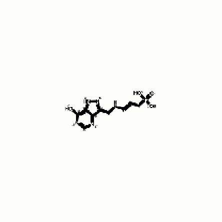 O=P(O)(O)CC=CNCc1n[nH]c2c(O)ncnc12